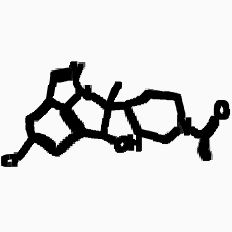 CC(=O)N1CCC(C2(C)[C@@H](O)c3cc(Cl)cc4cnn2c34)CC1